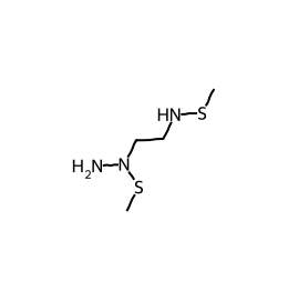 CSNCCN(N)SC